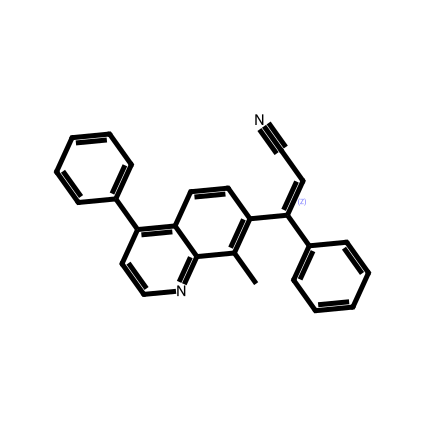 Cc1c(/C(=C\C#N)c2ccccc2)ccc2c(-c3ccccc3)ccnc12